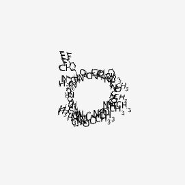 CC[C@H](C)[C@@H]1NC(=O)[C@H](C)N(C)C(=O)C[C@@H](C(=O)N2CCCCC2)N(C)C(=O)[C@H](C(C)C)N(C)C(=O)C2(CCCC2)NC(=O)[C@H](Cc2cccnc2)N(C)C(=O)[C@H](CCc2ccc(C(F)(F)F)c(Cl)c2)NC(=O)CN(C)C(=O)[C@H](CC2CCCCC2)N(C)C(=O)CN(C)C(=O)CN(C)C1=O